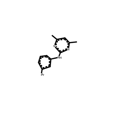 Cc1cc(C)nc(Nc2cccc(C(C)C)c2)n1